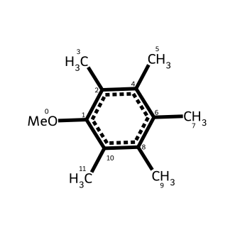 COc1c(C)c(C)c(C)c(C)c1C